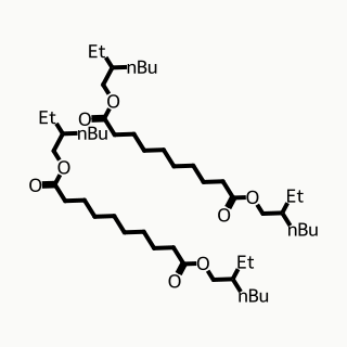 CCCCC(CC)COC(=O)CCCCCCCCC(=O)OCC(CC)CCCC.CCCCC(CC)COC(=O)CCCCCCCCC(=O)OCC(CC)CCCC